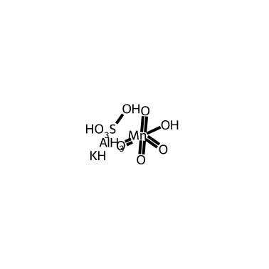 O=S(=O)(O)O.[AlH3].[KH].[O]=[Mn](=[O])(=[O])(=[O])[OH]